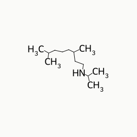 CC(C)CCCC(C)CCNC(C)C